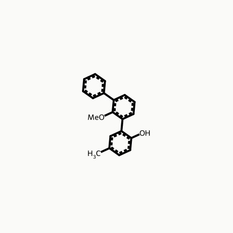 COc1c(-c2ccccc2)cccc1-c1cc(C)ccc1O